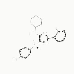 Cc1ccccc1-c1nc(S(=O)(=O)c2ccc(Br)cc2)c(NC2CCCCC2)o1